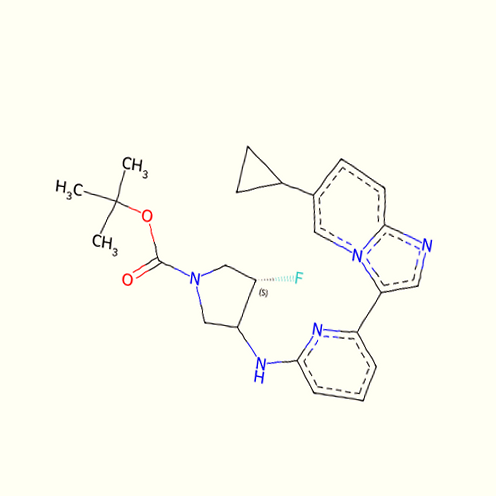 CC(C)(C)OC(=O)N1CC(Nc2cccc(-c3cnc4ccc(C5CC5)cn34)n2)[C@@H](F)C1